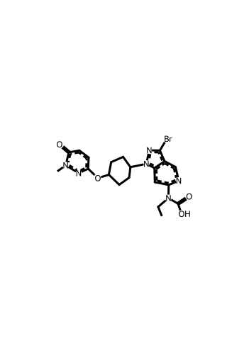 CCN(C(=O)O)c1cc2c(cn1)c(Br)nn2C1CCC(Oc2ccc(=O)n(C)n2)CC1